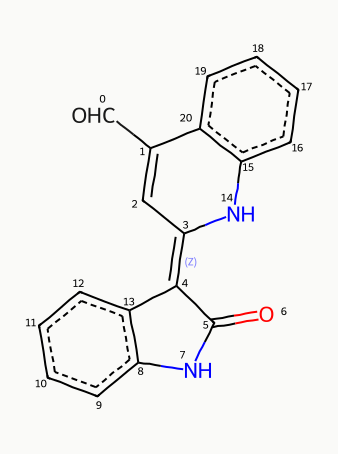 O=CC1=C/C(=C2/C(=O)Nc3ccccc32)Nc2ccccc21